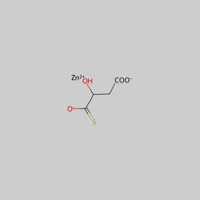 O=C([O-])CC(O)C([O-])=S.[Zn+2]